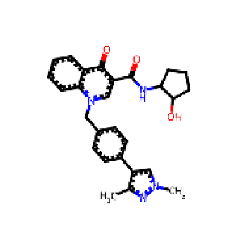 Cc1nn(C)cc1-c1ccc(Cn2cc(C(=O)NC3CCCC3O)c(=O)c3ccccc32)cc1